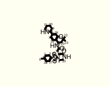 Cc1ccc(S(=O)(=O)N2CCNC(=O)[C@H]2CC(=O)N[C@@H]2CC(C)(C)Oc3cc(C4CCCCN4)ccc32)cc1